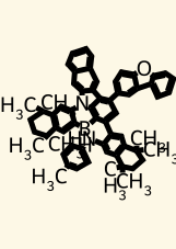 Cc1ccc(Nc2cc3c(cc2-c2cc(-c4ccc5oc6ccccc6c5c4)c4c5cc6ccccc6cc5n5c4c2Bc2cc4c(cc2-5)C(C)(C)CCC4(C)C)C(C)(C)CCC3(C)C)cc1